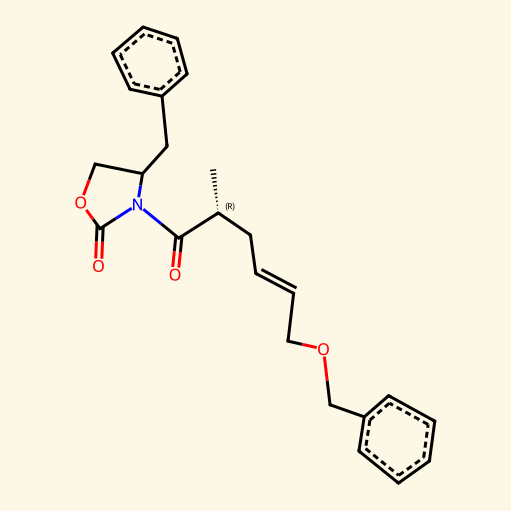 C[C@H](CC=CCOCc1ccccc1)C(=O)N1C(=O)OCC1Cc1ccccc1